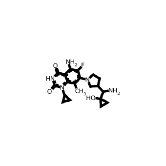 Cc1c(N2CCC(C(N)C3(O)CC3)C2)c(F)c(N)c2c(=O)[nH]c(=O)n(C3CC3)c12